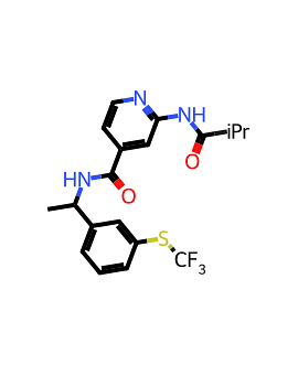 CC(C)C(=O)Nc1cc(C(=O)NC(C)c2cccc(SC(F)(F)F)c2)ccn1